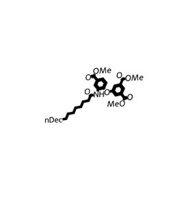 CCCCCCCCCCCCCCCCCC(=O)Nc1cc(C(=O)OC)ccc1Oc1cc(C(=O)OC)cc(C(=O)OC)c1